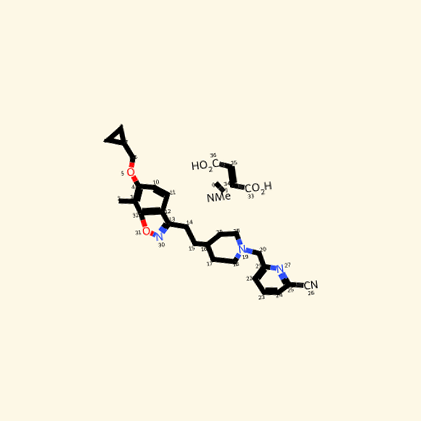 CNC.Cc1c(OCC2CC2)ccc2c(CCC3CCN(Cc4cccc(C#N)n4)CC3)noc12.O=C(O)C=CC(=O)O